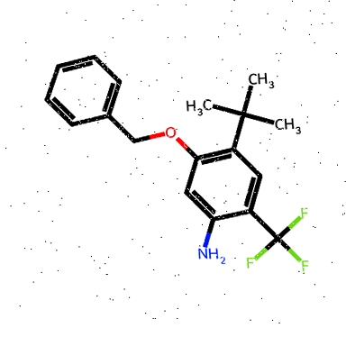 CC(C)(C)c1cc(C(F)(F)F)c(N)cc1OCc1ccccc1